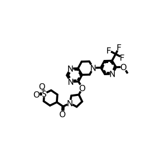 COc1ncc(N2CCc3ncnc(OC4CCN(C(=O)C5CCS(=O)(=O)CC5)C4)c3C2)cc1C(F)(F)F